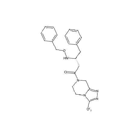 O=C(C[C@@H](Cc1ccccc1)NOCc1ccccc1)N1CCn2c(nnc2C(F)(F)F)C1